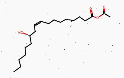 CCCCCC[C@@H](O)C/C=C\CCCCCCCC(=O)OC(C)=O